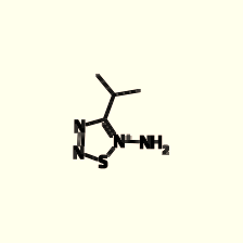 CC(C)c1nns[n+]1N